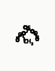 CCCCc1cc(Cc2c(-c3ccc(OCCN4CCCC4)cc3)sc3ccccc23)ccc1OCCN1CCCC1